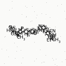 CCN(C)S(=O)(=O)Nc1ccc(F)c(Oc2ccc3ncc([C@H]4COC5(CCN([C@H]6CC[C@H](c7cc8c(cc7F)c(N7CCC(=O)NC7=O)nn8C)CC6F)CC5)C4)nc3c2)c1C#N